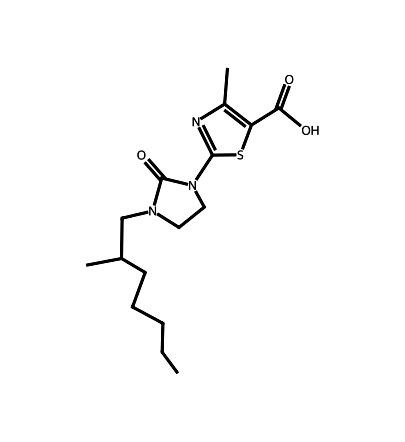 CCCCCC(C)CN1CCN(c2nc(C)c(C(=O)O)s2)C1=O